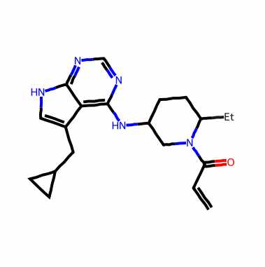 C=CC(=O)N1CC(Nc2ncnc3[nH]cc(CC4CC4)c23)CCC1CC